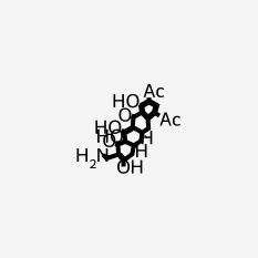 CC(=O)c1cc(C(C)=O)c2c(c1O)C(=O)C1=C(O)[C@]3(O)C(=O)C(CN)=C(O)C[C@@H]3C[C@@H]1C2